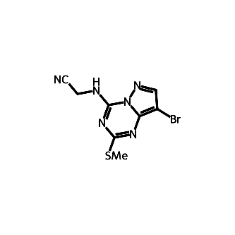 CSc1nc(NCC#N)n2ncc(Br)c2n1